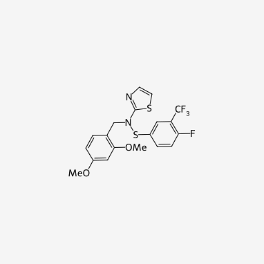 COc1ccc(CN(Sc2ccc(F)c(C(F)(F)F)c2)c2nccs2)c(OC)c1